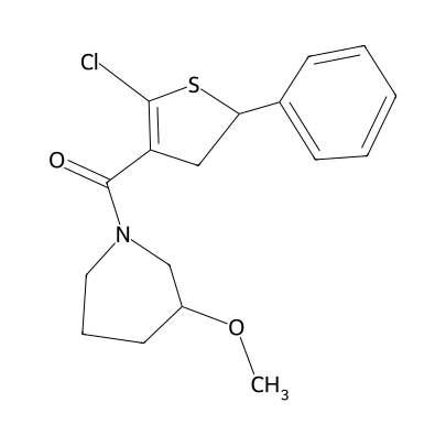 COC1CCCN(C(=O)C2=C(Cl)SC(c3ccccc3)C2)C1